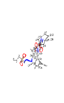 CCCS(=O)(=O)N1Cc2ccccc2C2(CCN(C3CC4CCC(C3)N4C(=O)OC3CCC3)CC2)C1